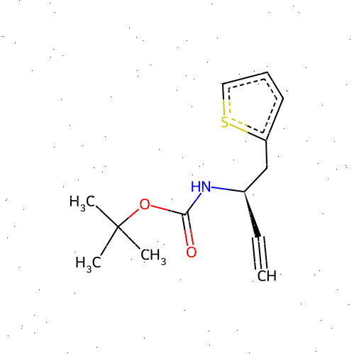 C#C[C@H](Cc1cccs1)NC(=O)OC(C)(C)C